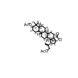 C=C(COC(C)=O)[C@@H]1CC[C@]2(C(=O)Cl)CC[C@]3(C)[C@H](CC[C@@H]4[C@@]5(C)CC[C@H](OC(C)=O)C(C)(C)[C@@H]5CC[C@]43C)[C@@H]12